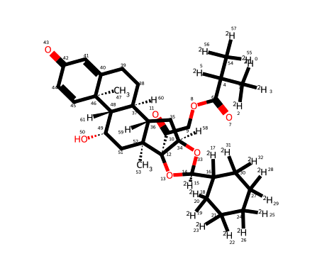 [2H]C([2H])([2H])C([2H])(C(=O)OCC(=O)[C@@]12O[C@]([2H])(C3([2H])C([2H])([2H])C([2H])([2H])C([2H])([2H])C([2H])([2H])C3([2H])[2H])O[C@@H]1C[C@H]1[C@@H]3CCC4=CC(=O)C=C[C@]4(C)[C@H]3[C@@H](O)C[C@@]12C)C([2H])([2H])[2H]